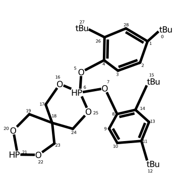 CC(C)(C)c1ccc(O[PH]2(Oc3ccc(C(C)(C)C)cc3C(C)(C)C)OCC3(COPOC3)CO2)c(C(C)(C)C)c1